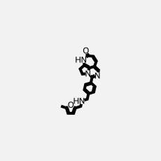 Cc1ccc(CNCc2ccc(C3=NC=C4C=CC(=O)NC5=C4N3CC5)cc2)o1